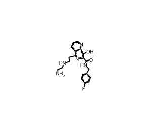 NCCNCCc1nc(C(=O)NCc2ccc(F)cc2)c(O)c2ncccc12